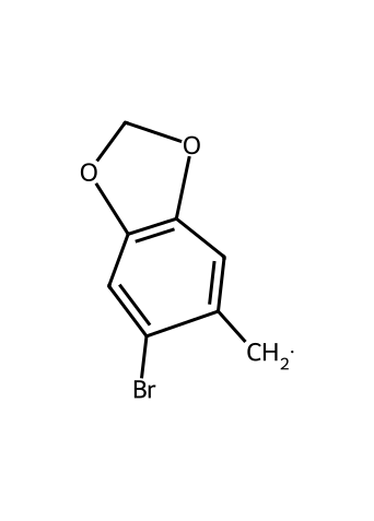 [CH2]c1cc2c(cc1Br)OCO2